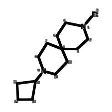 CCN1CCC2(CC1)CCN(C1CCC1)CC2